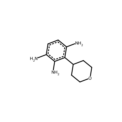 Nc1ccc(N)c(C2CCOCC2)c1N